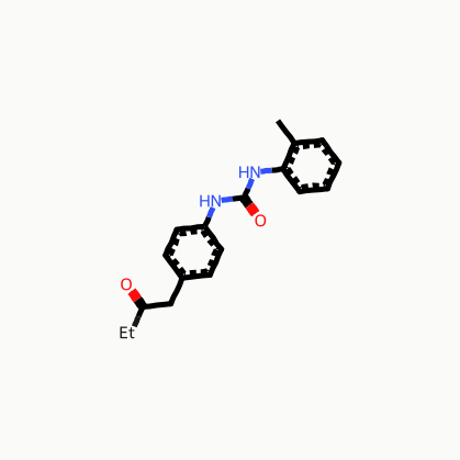 CCC(=O)Cc1ccc(NC(=O)Nc2ccccc2C)cc1